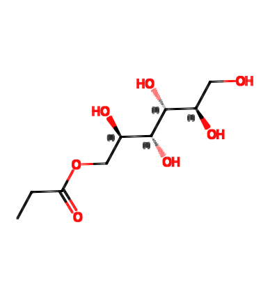 CCC(=O)OC[C@@H](O)[C@@H](O)[C@H](O)[C@H](O)CO